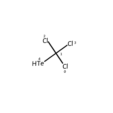 ClC(Cl)(Cl)[TeH]